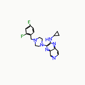 Fc1ccc(CN2CCN(c3nc4cnccc4nc3NC3CC3)CC2)c(F)c1